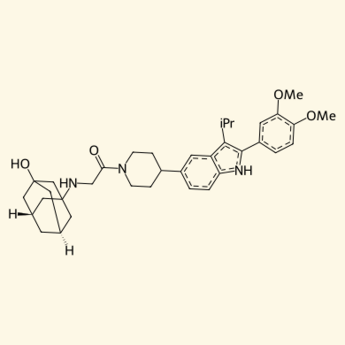 COc1ccc(-c2[nH]c3ccc(C4CCN(C(=O)CNC56C[C@@H]7C[C@@H](CC(O)(C7)C5)C6)CC4)cc3c2C(C)C)cc1OC